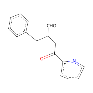 O=CC(CC(=O)c1ccccn1)Cc1ccccc1